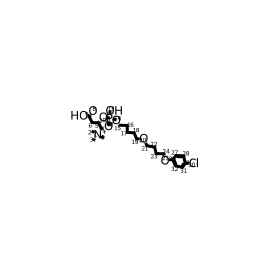 C[N+](C)(C)CC(CC(=O)O)OP(=O)(O)OCCCCCOCCCCOc1ccc(Cl)cc1